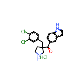 Cl.O=C(c1ccc2[nH]ccc2c1)C1(Cc2ccc(Cl)c(Cl)c2)CCNC1